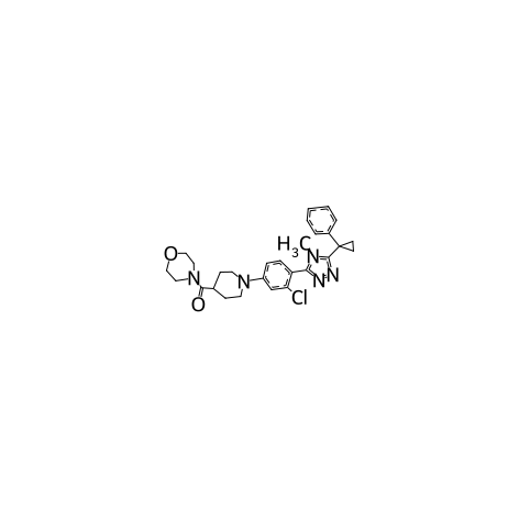 Cn1c(-c2ccc(N3CCC(C(=O)N4CCOCC4)CC3)cc2Cl)nnc1C1(c2ccccc2)CC1